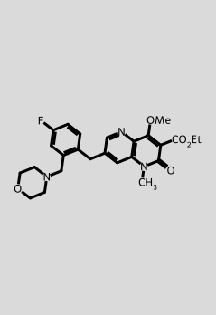 CCOC(=O)c1c(OC)c2ncc(Cc3ccc(F)cc3CN3CCOCC3)cc2n(C)c1=O